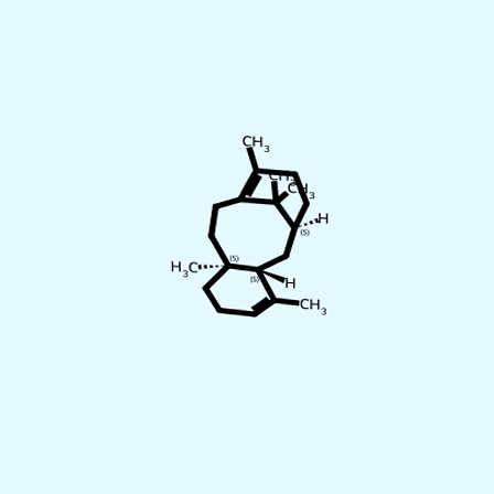 CC1=CCC[C@@]2(C)CCC3=C(C)CC[C@@H](C[C@H]12)C3(C)C